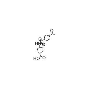 CC(=O)c1ccc(S(=O)(=O)NC2CCC(C(=O)O)CC2)cc1